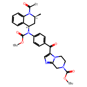 CCC(=O)N1c2ccccc2[C@H](N(C(=O)OC(C)(C)C)c2ccc(C(=O)c3cnc4n3CCN(C(=O)OC(C)(C)C)C4)cc2)C[C@@H]1C